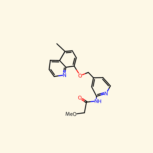 COCC(=O)Nc1cc(COc2ccc(C)c3cccnc23)ccn1